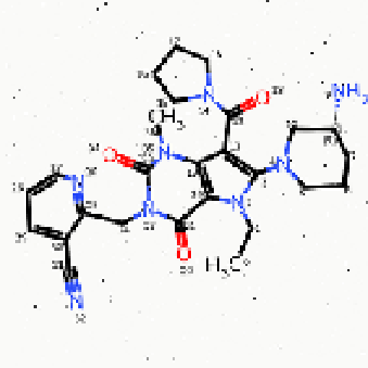 CCn1c(N2CCC[C@@H](N)C2)c(C(=O)N2CCCC2)c2c1c(=O)n(Cc1ncccc1C#N)c(=O)n2C